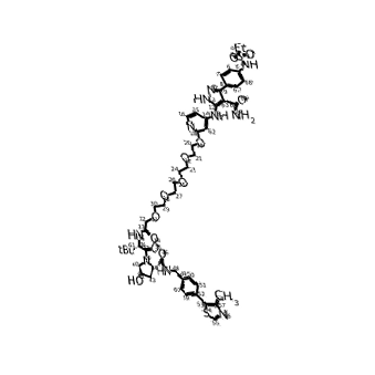 CCS(=O)(=O)Nc1ccc(-c2n[nH]c(Nc3ccnc(OCCOCCOCCOCCOCC(=O)N[C@H](C(=O)N4C[C@H](O)C[C@H]4C(=O)NCc4ccc(-c5scnc5C)cc4)C(C)(C)C)c3)c2C(N)=O)cc1